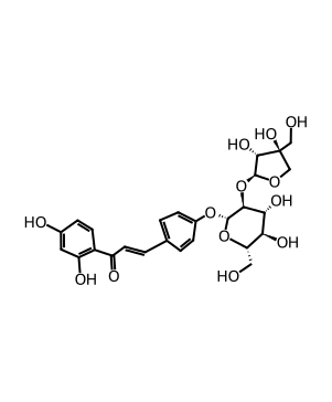 O=C(/C=C/c1ccc(O[C@H]2O[C@@H](CO)[C@H](O)[C@@H](O)[C@@H]2O[C@@H]2OC[C@@](O)(CO)[C@H]2O)cc1)c1ccc(O)cc1O